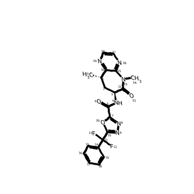 C[C@H]1C[C@H](NC(=O)c2nnc(C(F)(F)c3ccccc3)o2)C(=O)N(C)c2nccnc21